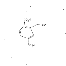 O=CCc1cc(C(=O)O)ccc1C(=O)O